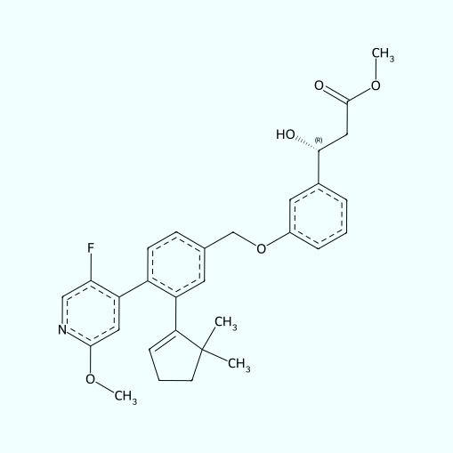 COC(=O)C[C@@H](O)c1cccc(OCc2ccc(-c3cc(OC)ncc3F)c(C3=CCCC3(C)C)c2)c1